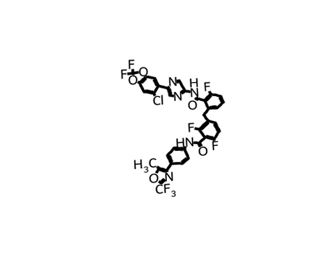 Cc1oc(C(F)(F)F)nc1-c1ccc(NC(=O)c2c(F)ccc(Cc3cccc(F)c3C(=O)Nc3cnc(-c4cc5c(cc4Cl)OC(F)(F)O5)cn3)c2F)cc1